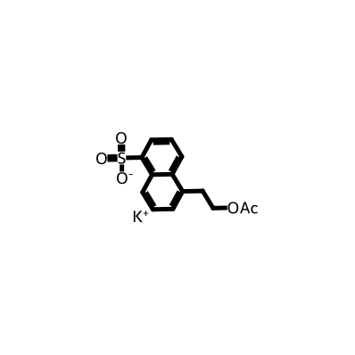 CC(=O)OCCc1cccc2c(S(=O)(=O)[O-])cccc12.[K+]